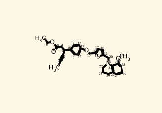 CC#CC(CC(=O)OCC)c1ccc(OCc2ccc(CN3CCCc4cccc(OC)c43)s2)cc1